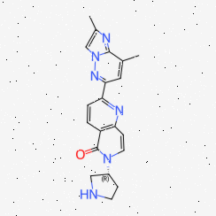 Cc1cn2nc(-c3ccc4c(=O)n([C@@H]5CCNC5)ccc4n3)cc(C)c2n1